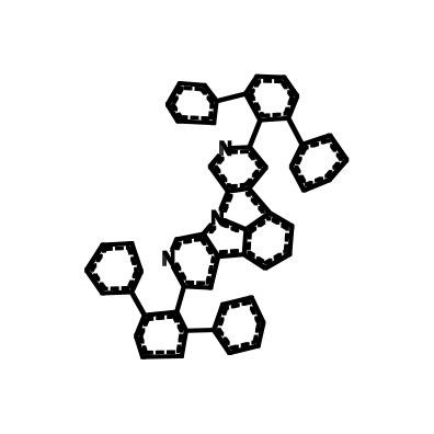 c1ccc(-c2cccc(-c3ccccc3)c2-c2cc3c4cccc5c6cc(-c7c(-c8ccccc8)cccc7-c7ccccc7)ncc6n(c3cn2)c45)cc1